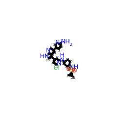 Nc1ccc(-c2cnc3[nH]cc(-c4cc(Cl)nc(NC5CCC(NS(=O)(=O)C6CC6)CC5)c4)c3c2)cn1